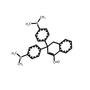 CN(C)c1ccc(C2(c3ccc(N(C)C)cc3)C=C(C=O)c3ccccc3C2)cc1